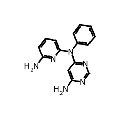 Nc1cc(N(c2ccccc2)c2cccc(N)n2)ncn1